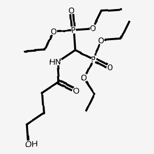 CCOP(=O)(OCC)C(NC(=O)CCCO)P(=O)(OCC)OCC